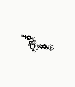 CC(=O)N1CC[C@H]2CC[C@@H](C(=O)N(C)c3ccc(C(C)(C)C#N)cc3)N2C(=O)[C@@H](NC(=O)c2cc3cc(C(F)(F)O[PH](=O)O)ccc3s2)C1